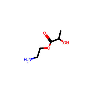 CC(O)C(=O)OCCN